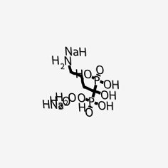 NCCCC(O)(P(=O)(O)O)P(=O)(O)O.O.O.[NaH].[NaH]